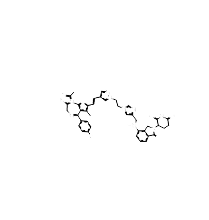 Cc1c(/C=C/c2cnn(CCn3cnc(CNc4cccc5c4CN(C4CCC(=O)NC4=O)C5=O)c3)c2)sc2c1C(c1ccc(Cl)cc1)=NCc1nnc(C)n1-2